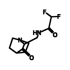 O=C(NCC1C(=O)C2CCN1CC2)C(F)F